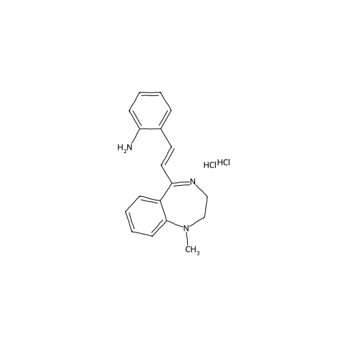 CN1CCN=C(/C=C/c2ccccc2N)c2ccccc21.Cl.Cl